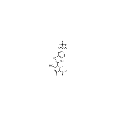 Cc1cc(O)c(C(=O)Nc2ccc(S(=O)(=O)C(F)(F)F)cc2Cl)c(C)c1[S+](C)[O-]